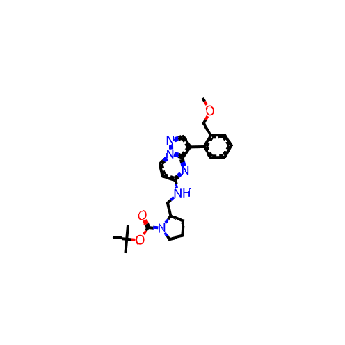 COCc1ccccc1-c1cnn2ccc(NCC3CCCN3C(=O)OC(C)(C)C)nc12